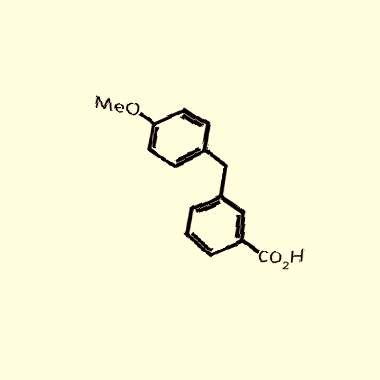 COc1ccc(Cc2cccc(C(=O)O)c2)cc1